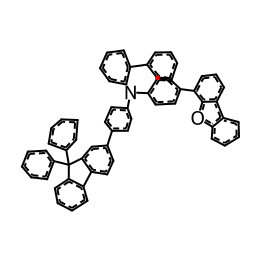 c1ccc(-c2ccccc2N(c2ccc(-c3ccc4c(c3)C(c3ccccc3)(c3ccccc3)c3ccccc3-4)cc2)c2ccc(-c3cccc4c3oc3ccccc34)cc2)cc1